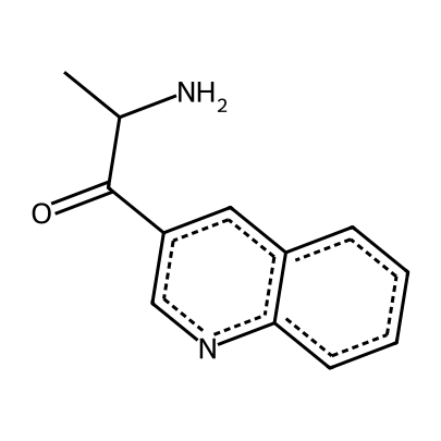 CC(N)C(=O)c1cnc2ccccc2c1